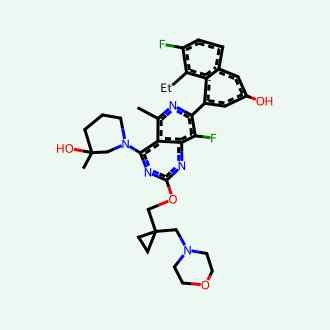 CCc1c(F)ccc2cc(O)cc(-c3nc(C)c4c(N5CCCC(C)(O)C5)nc(OCC5(CN6CCOCC6)CC5)nc4c3F)c12